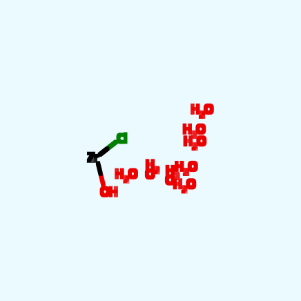 O.O.O.O.O.O.O.O.[OH][Zr][Cl]